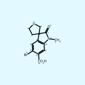 CN1C(=O)C2(CCOC2)c2cc(Br)c(C(=O)O)cc21